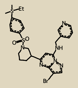 CCS(C)(C)c1ccc(S(=O)(=O)N2CCCC(c3cc(NCc4cccnc4)n4ncc(Br)c4n3)C2)cc1